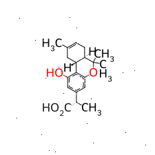 CC1=CC[C@@H]2[C@@H](C1)c1c(O)cc([C@H](C)C(=O)O)cc1OC2(C)C